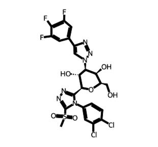 CS(=O)(=O)c1nnc([C@@H]2O[C@H](CO)[C@H](O)[C@H](n3cc(-c4cc(F)c(F)c(F)c4)nn3)[C@H]2O)n1-c1ccc(Cl)c(Cl)c1